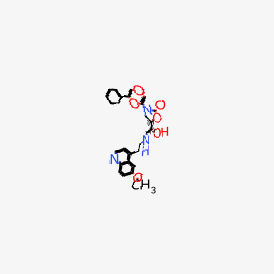 COc1ccc2nccc(CCNC[C@@H](O)[C@H]3CN(C4=COC=C(C5=CC=CCC5)O4)C(=O)O3)c2c1